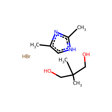 Br.CC(C)(CO)CO.Cc1c[nH]c(C)n1